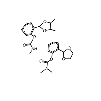 CN(C)C(=O)Oc1ccccc1C1OCCO1.CNC(=O)Oc1ccccc1C1OC(C)C(C)O1